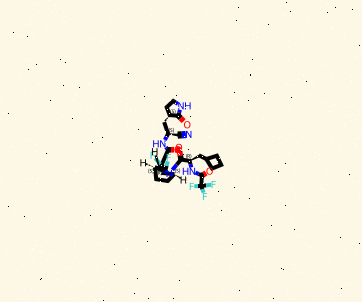 N#C[C@H](C[C@@H]1CCNC1=O)NC(=O)[C@H]1[C@@H]2CC[C@@H](CC2(F)F)N1C(=O)[C@@H](CC1CCC1)NC(=O)C(F)(F)F